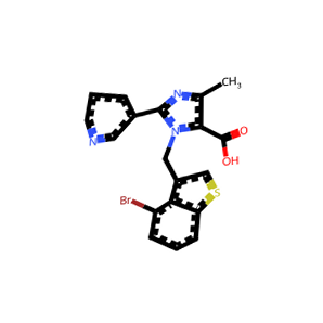 Cc1nc(-c2cccnc2)n(Cc2csc3cccc(Br)c23)c1C(=O)O